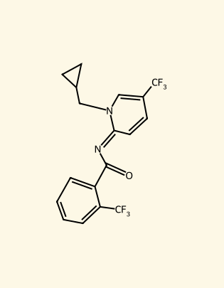 O=C(/N=c1\ccc(C(F)(F)F)cn1CC1CC1)c1ccccc1C(F)(F)F